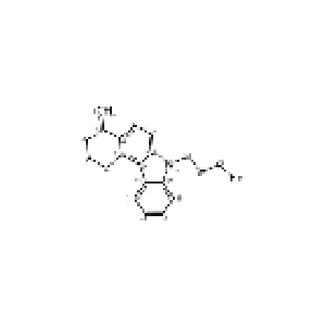 C=C1CCCc2c1ccc1c2c2ccccc2n1CCCF